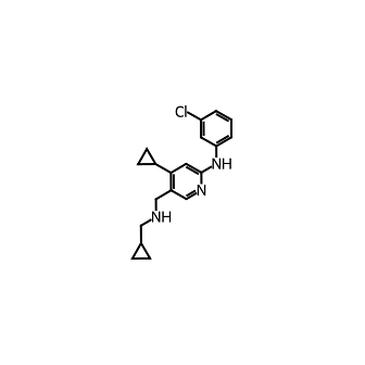 Clc1cccc(Nc2cc(C3CC3)c(CNCC3CC3)cn2)c1